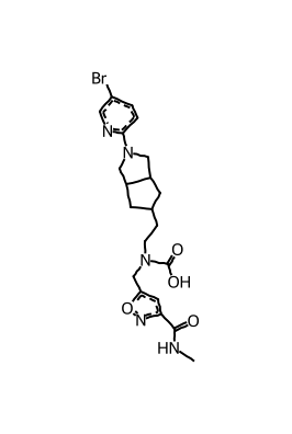 CNC(=O)c1cc(CN(CCC2CC3CN(c4ccc(Br)cn4)CC3C2)C(=O)O)on1